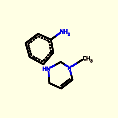 CN1C=CCNC1.Nc1ccccc1